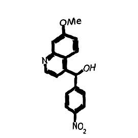 COc1ccc2c(C(O)c3ccc([N+](=O)[O-])cc3)ccnc2c1